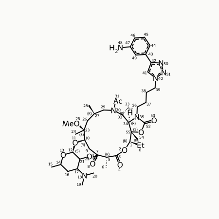 CC[C@H]1OC(=O)[C@H](C)C(=O)C[C@@H](O[C@@H]2OC(C)CC(N(C)C)C2O)[C@@](C)(OC)C[C@@H](C)CN(C(C)=O)[C@H](C)[C@H]2N(CCCCn3cc(-c4cccc(N)c4)nn3)C(=O)O[C@]12C